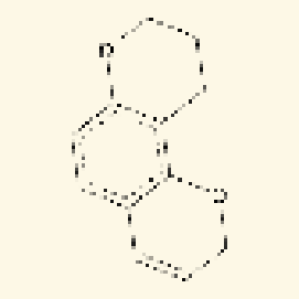 C1=Cc2ccc3c(c2OC1)CCCO3